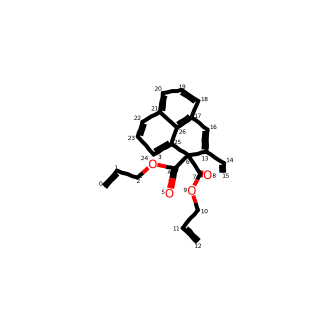 C=C[CH]OC(=O)C1(C(=O)OCC=C)C(C=C)=Cc2cccc3cccc1c23